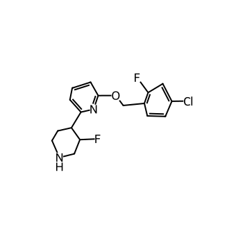 Fc1cc(Cl)ccc1COc1cccc(C2CCNCC2F)n1